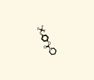 O=C(Oc1ccc(SC(F)(F)F)cc1)N1CCCCC1